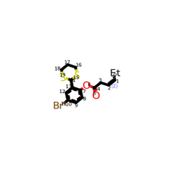 CC/C=C\CC(=O)Oc1ccc(Br)cc1C1SCCCS1